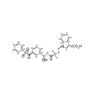 CC(C)(CCn1cc(C(=O)O)c2ccccc21)NCC(O)c1cccc(NS(=O)(=O)c2ccccc2)c1